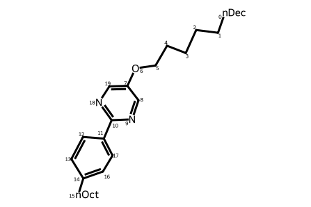 CCCCCCCCCCCCCCCOc1cnc(-c2ccc(CCCCCCCC)cc2)nc1